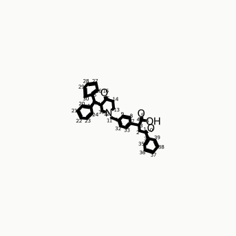 O=C(CC(C(=O)O)c1ccc(CN2CCC(=O)C(C(c3ccccc3)c3ccccc3)C2)cc1)c1ccccc1